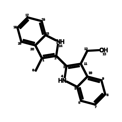 Cc1c(-c2[nH]c3ccccc3c2CO)[nH]c2ccccc12